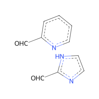 O=Cc1ccccn1.O=Cc1ncc[nH]1